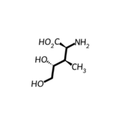 C[C@H]([C@H](N)C(=O)O)[C@@H](O)CO